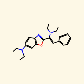 CCN(CC)C(=Cc1ccccc1)c1nc2ccc(N(CC)CC)cc2o1